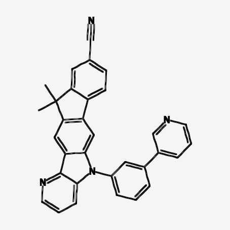 CC1(C)c2cc(C#N)ccc2-c2cc3c(cc21)c1ncccc1n3-c1cccc(-c2cccnc2)c1